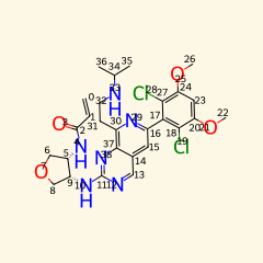 C=CC(=O)N[C@H]1COC[C@H]1Nc1ncc2cc(-c3c(Cl)c(OC)cc(OC)c3Cl)nc(CCNC(C)C)c2n1